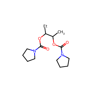 CCC(OC(=O)N1CCCC1)C(C)OC(=O)N1CCCC1